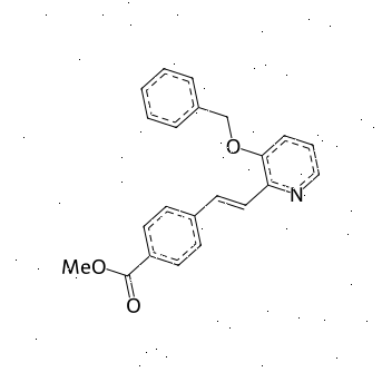 COC(=O)c1ccc(C=Cc2ncccc2OCc2ccccc2)cc1